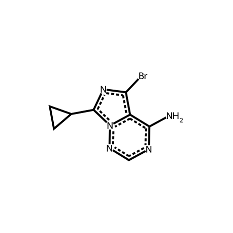 Nc1ncnn2c(C3CC3)nc(Br)c12